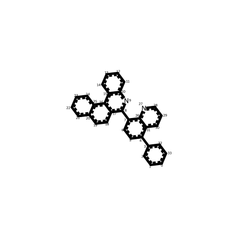 c1ccc(-c2ccc(-c3nc4ccccc4c4c3ccc3ccccc34)c3ncccc23)cc1